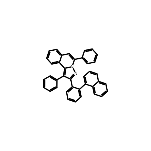 c1ccc(-c2c(-c3ccccc3-c3cccc4ccccc34)nn3c(-c4ccccc4)cc4ccccc4c23)cc1